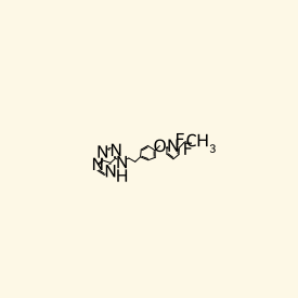 CC(F)(F)c1cccc(Oc2ccc(CCNc3ncnc4nccnc34)cc2)n1